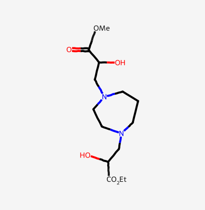 CCOC(=O)C(O)CN1CCCN(CC(O)C(=O)OC)CC1